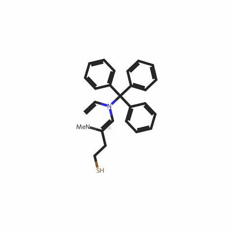 C=CN(/C=C(/CCS)NC)C(c1ccccc1)(c1ccccc1)c1ccccc1